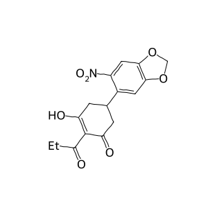 CCC(=O)C1=C(O)CC(c2cc3c(cc2[N+](=O)[O-])OCO3)CC1=O